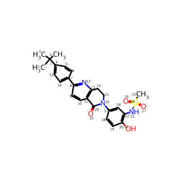 CC(C)(C)c1ccc(-c2ccc3c(n2)CCN(c2ccc(O)c(NS(C)(=O)=O)c2)C3=O)cc1